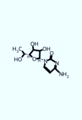 CC(O)[C@H]1O[C@@H](n2ccc(N)nc2=O)C(O)C1O